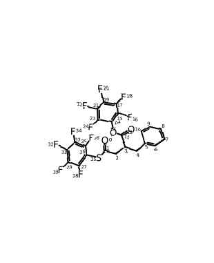 O=C(C[C@H](Cc1ccccc1)C(=O)Oc1c(F)c(F)c(F)c(F)c1F)Sc1c(F)c(F)c(F)c(F)c1F